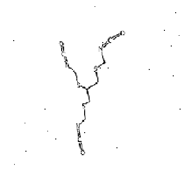 O=C=NCSCC(CSCN=C=O)SCN=C=O